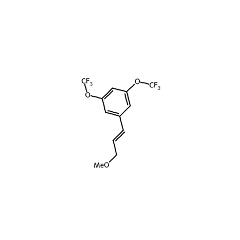 [CH2]OCC=Cc1cc(OC(F)(F)F)cc(OC(F)(F)F)c1